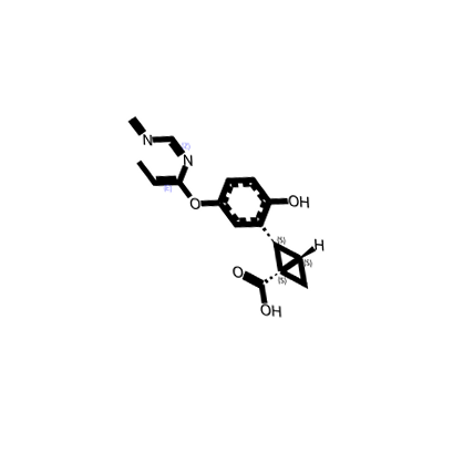 C=N/C=N\C(=C/C)Oc1ccc(O)c([C@@H]2[C@@H]3C[C@@]23C(=O)O)c1